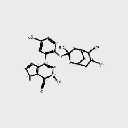 CSc1ccc(OC2(C)CC3CC(C)C(C#N)C(C3)C2)c(-c2cn(C)c(=O)c3[nH]ccc23)c1